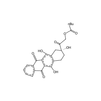 CCCCC(=O)OCC(=O)[C@@]1(O)CCc2c(O)c3c(c(O)c2C1)C(=O)c1ccccc1C3=O